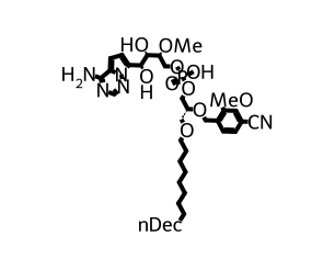 CCCCCCCCCCCCCCCCCCOC[C@H](COP(=O)(O)OC[C@@H](OC)[C@@H](O)[C@@H](O)c1ccc2c(N)ncnn12)OCc1ccc(C#N)cc1OC